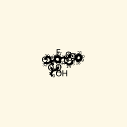 CCC(OCC1(c2ccc(CN3[C@@H](C)CC[C@H](c4ccccc4)S3(=O)=O)c(F)c2)CCOCC1)C(=O)O